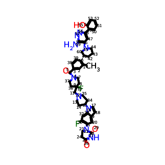 Cc1cc(C(=O)N2CCC(F)(CN3CCC(n4ccc5cc(N6CCC(=O)NC6=O)c(F)cc54)CC3)CC2)ccc1[C@H]1CCCN(c2cc(-c3ccccc3O)nnc2N)C1